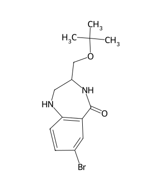 CC(C)(C)OCC1CNc2ccc(Br)cc2C(=O)N1